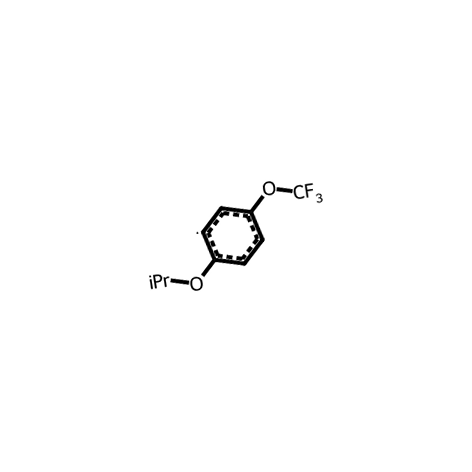 CC(C)Oc1[c]cc(OC(F)(F)F)cc1